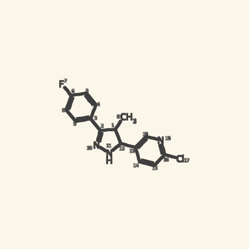 CC1C(c2ccc(F)cc2)=NNC1c1ccc(Cl)nc1